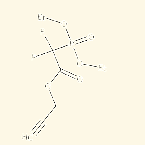 C#CCOC(=O)C(F)(F)P(=O)(OCC)OCC